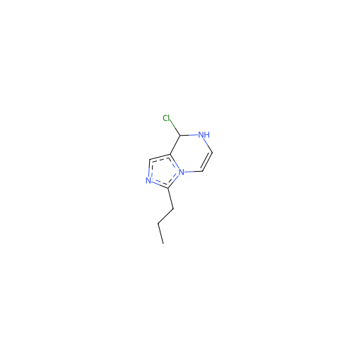 CCCc1ncc2n1C=CNC2Cl